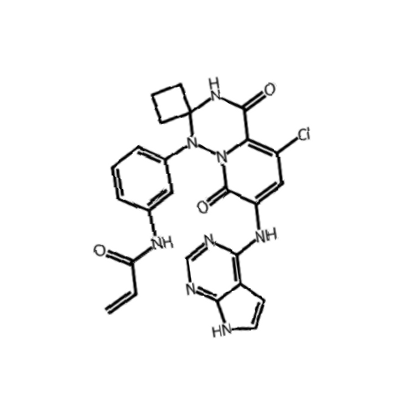 C=CC(=O)Nc1cccc(N2n3c(c(Cl)cc(Nc4ncnc5[nH]ccc45)c3=O)C(=O)NC23CCC3)c1